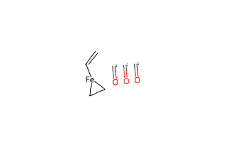 C=[CH][Fe]1[CH2][CH2]1.[C]=O.[C]=O.[C]=O